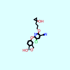 N#Cc1cc(Cl)c(Oc2ccc3c(c2)COB3O)nc1OCCCC1(O)CC1